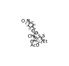 CCSC(=S)SC1C(C(C)OC(C)=O)C(=O)N1C(Cl)C(=O)OCc1ccc([N+](=O)[O-])cc1